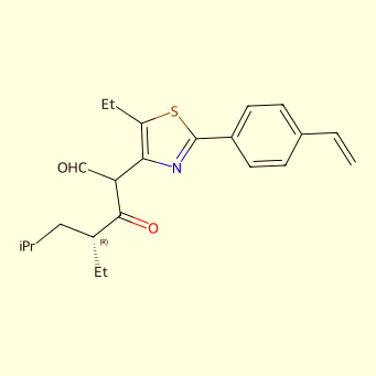 C=Cc1ccc(-c2nc(C(C=O)C(=O)[C@H](CC)CC(C)C)c(CC)s2)cc1